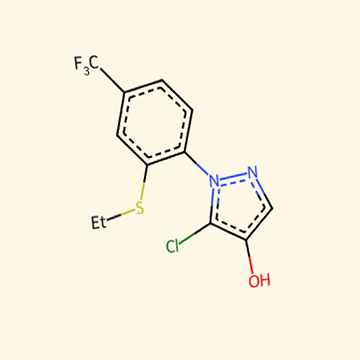 CCSc1cc(C(F)(F)F)ccc1-n1ncc(O)c1Cl